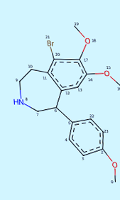 COc1ccc(C2CNCCc3c2cc(OC)c(OC)c3Br)cc1